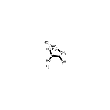 CC.Cl.OCN(O)O.[Cl-].[Na+]